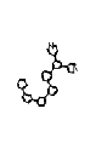 c1ccc(-c2cccc(-c3cccc(-c4cccc(-c5cccc(-c6cc(-c7ccncc7)cc(-c7ccncc7)c6)c5)c4)c3)c2)cc1